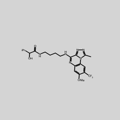 COc1cc2nc(NCCCCNC(=O)C(O)C(C)C)c3nnc(C)n3c2cc1C(F)(F)F